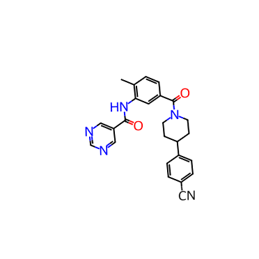 Cc1ccc(C(=O)N2CCC(c3ccc(C#N)cc3)CC2)cc1NC(=O)c1cncnc1